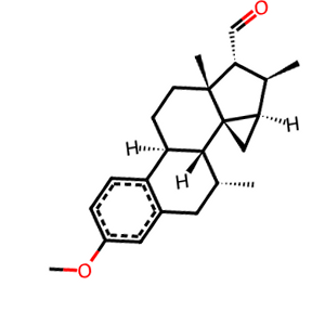 COc1ccc2c(c1)C[C@@H](C)[C@@H]1[C@@H]2CC[C@]2(C)[C@H](C=O)[C@@H](C)[C@H]3C[C@]132